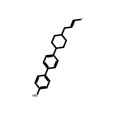 CCCCc1ccc(-c2ccc(C3CCC(C/C=C/F)CC3)cc2)cc1